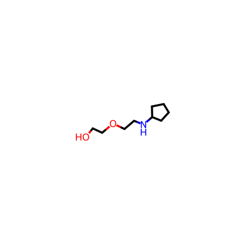 OCCOCCNC1CCCC1